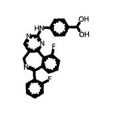 OC(O)c1ccc(Nc2ncc3c(n2)-c2c(F)cccc2C(c2ccccc2F)=NC3)cc1